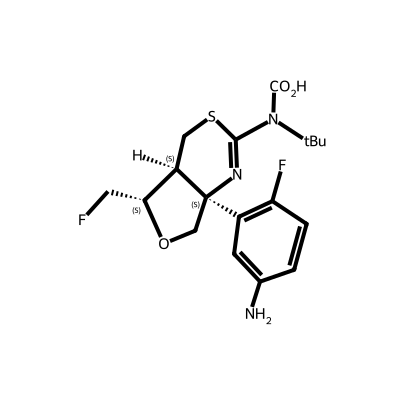 CC(C)(C)N(C(=O)O)C1=N[C@@]2(c3cc(N)ccc3F)CO[C@H](CF)[C@H]2CS1